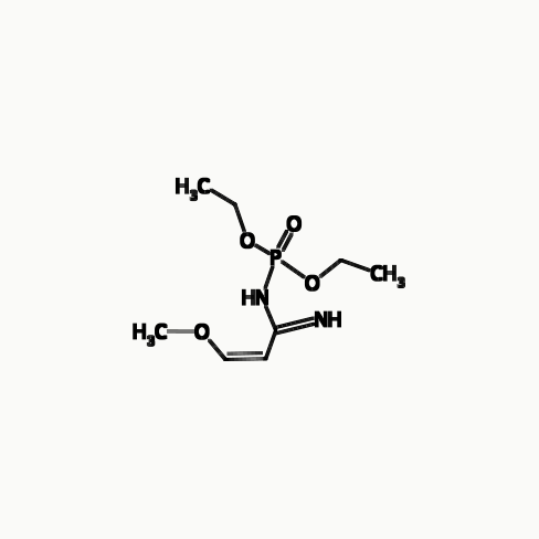 CCOP(=O)(NC(=N)/C=C\OC)OCC